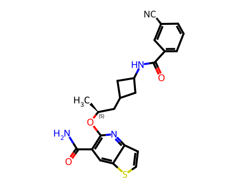 C[C@@H](CC1CC(NC(=O)c2cccc(C#N)c2)C1)Oc1nc2ccsc2cc1C(N)=O